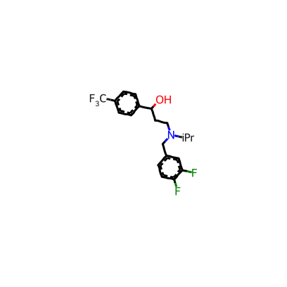 CC(C)N(CCC(O)c1ccc(C(F)(F)F)cc1)Cc1ccc(F)c(F)c1